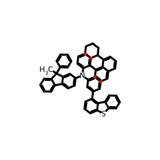 CC1(c2ccccc2)c2ccccc2-c2ccc(N(c3cccc(-c4cccc5sc6ccccc6c45)c3)c3ccccc3-c3cccc4cccc(C5CCCCC5)c34)cc21